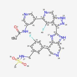 CC(C)(C)C(=O)Nc1cncc(-c2ncc3[nH]nc(-c4nc5c(-c6cc(F)cc(CNS(C)(=O)=O)c6)cncc5[nH]4)c3c2F)c1